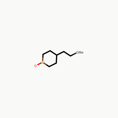 COCCC1CC[S+]([O-])CC1